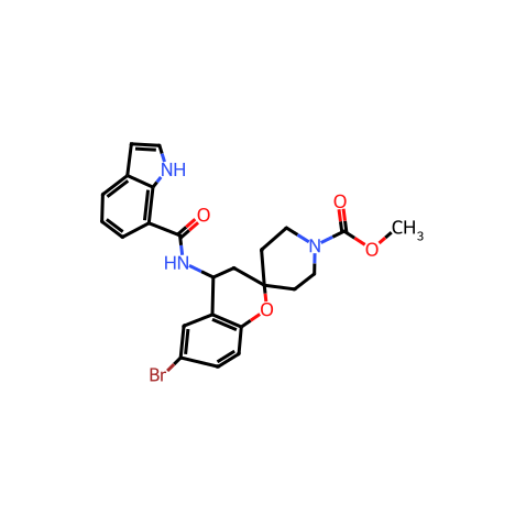 COC(=O)N1CCC2(CC1)CC(NC(=O)c1cccc3cc[nH]c13)c1cc(Br)ccc1O2